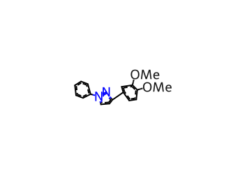 COc1ccc(-c2ccn(-c3ccccc3)n2)cc1OC